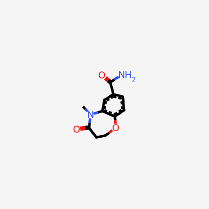 CN1C(=O)CCOc2ccc(C(N)=O)cc21